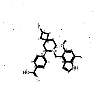 COc1cc(C)c2[nH]ccc2c1CN1CCC2(CC(F)C2)C[C@@H]1c1ccc(C(=O)O)cc1